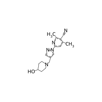 Cc1cc(-n2cc(CN3CCC(O)CC3)cn2)nc(C)c1C#N